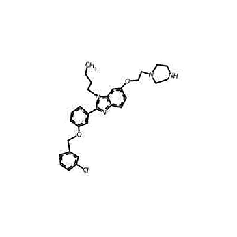 CCCCn1c(-c2cccc(OCc3cccc(Cl)c3)c2)nc2ccc(OCCN3CCNCC3)cc21